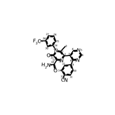 Cc1c(-c2cncnc2-c2ccc(C#N)cc2)nc(C(N)=O)c(=O)n1-c1cccc(C(F)(F)F)c1